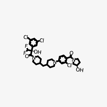 O=C(c1ccc(N2CCC(CC3CCN(C(=O)[C@](O)(c4cc(Cl)cc(Cl)c4)C(F)F)CC3)CC2)cc1Cl)N1CC[C@@H](O)C1